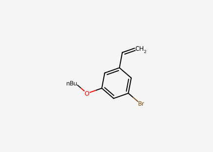 C=Cc1cc(Br)cc(OCCCC)c1